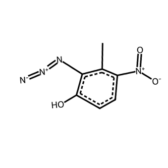 Cc1c([N+](=O)[O-])ccc(O)c1N=[N+]=[N-]